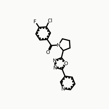 O=C(c1ccc(F)c(Cl)c1)N1CCCC1c1nnc(-c2cccnc2)o1